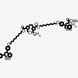 C=CC1CC(/C=C\C2CC(C=C)C(C(=O)OCCCCCCCCCCOc3ccc(C(CC(CC(C)CC)c4ccccc4)c4ccccc4)cc3)C2)C(C(=O)OCCCCCCCCCCOc2ccc(C(CC(C)CC)(CC(C)C(=O)OC)c3ccccc3)cc2)C1